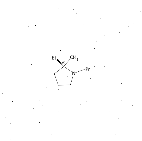 CC[C@]1(C)CCCN1C(C)C